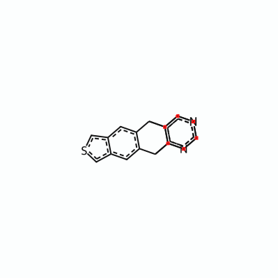 c1cc2c(cn1)C1c3cc4cscc4cc3C2c2ncncc21